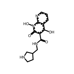 O=C(NCC1CCNC1)c1c(O)c2cccnc2n(O)c1=O